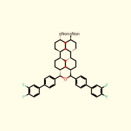 CCCCCCCCC[C@H]1CC[C@H]([C@H]2CC[C@H](C(OC(c3ccc(-c4ccc(F)c(F)c4)cc3)[C@H]3CC[C@H]([C@H]4CC[C@H](CCCCCCCCC)CC4)CC3)c3ccc(-c4ccc(F)c(F)c4)cc3)CC2)CC1